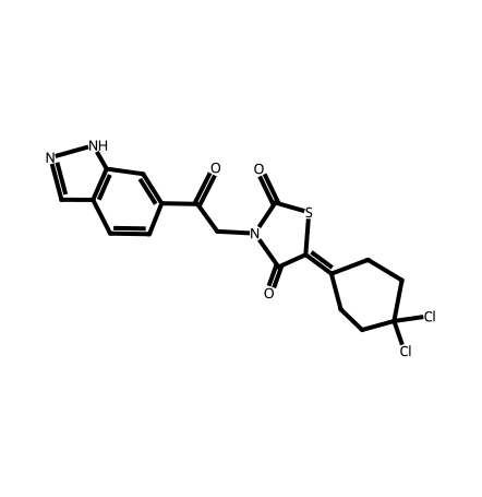 O=C(CN1C(=O)SC(=C2CCC(Cl)(Cl)CC2)C1=O)c1ccc2cn[nH]c2c1